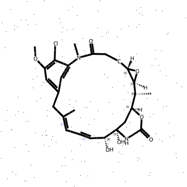 COc1cc2cc(c1Cl)N(C)C(=O)CC[C@@H]1O[C@H]1[C@H](C)[C@@H]1C[C@@](O)(NC(=O)O1)[C@H](O)/C=C/C=C(\C)C2